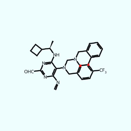 C=Nc1nc(C=O)nc(N[C@H](C)C2CCC2)c1N(Cc1ccc(C(F)(F)F)cc1)CN1CCc2ccccc2C1